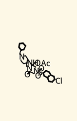 CC(=O)OCC12CN(S(=O)(=O)c3ccc4cc(Cl)ccc4c3)CC(=O)N1CC1(CCN(Cc3ccccc3)CC1)N2